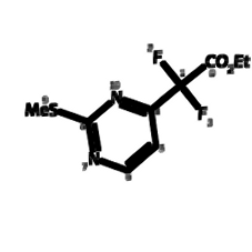 CCOC(=O)C(F)(F)c1ccnc(SC)n1